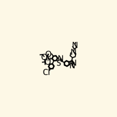 CCOC(=O)[C@@H](OC(C)(C)C)c1c(C)cc2nc(-c3ccc4c(c3)c(C3CCN(C5CN(C)C5)CC3)nn4C)sc2c1-c1ccc(Cl)cc1